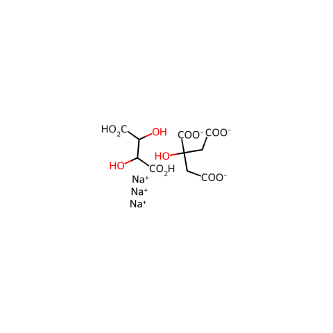 O=C(O)C(O)C(O)C(=O)O.O=C([O-])CC(O)(CC(=O)[O-])C(=O)[O-].[Na+].[Na+].[Na+]